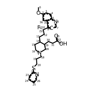 COc1ccc2nccc([C@@H](F)CCC3CCN(CCCSc4ccccn4)CC3CCC(=O)O)c2c1